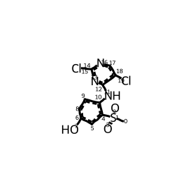 CS(=O)(=O)c1cc(O)ccc1Nc1nc(Cl)ncc1Cl